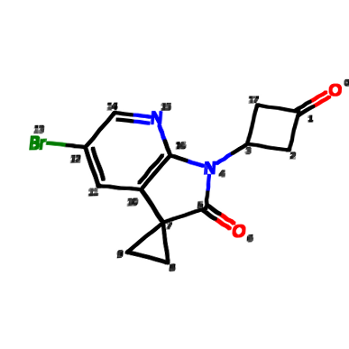 O=C1CC(N2C(=O)C3(CC3)c3cc(Br)cnc32)C1